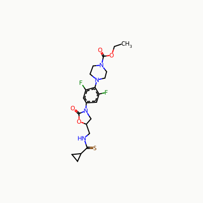 CCOC(=O)N1CCN(c2c(F)cc(N3CC(CNC(=S)C4CC4)OC3=O)cc2F)CC1